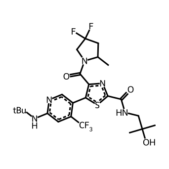 CC1CC(F)(F)CN1C(=O)c1nc(C(=O)NCC(C)(C)O)sc1-c1cnc(NC(C)(C)C)cc1C(F)(F)F